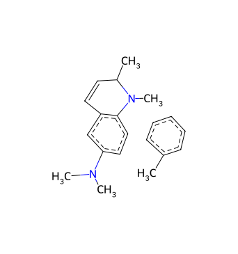 CC1C=Cc2cc(N(C)C)ccc2N1C.Cc1ccccc1